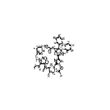 CC[C@H](C)[C@H](NC(=O)[C@H]1CCCCN1C)C(=O)N(C)[C@H](C[C@@H](OC(C)=O)c1nc(C(=O)N[C@H](c2ccccc2)[C@@H](OCC(=O)O)c2ccccc2)cs1)C(C)C